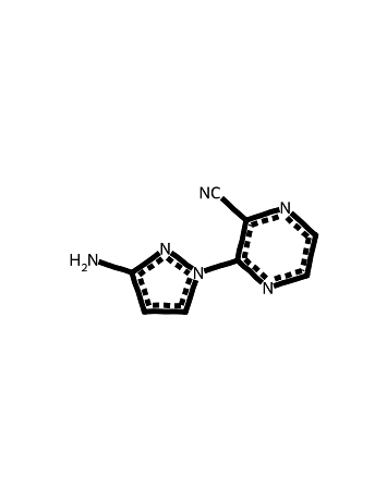 N#Cc1nccnc1-n1ccc(N)n1